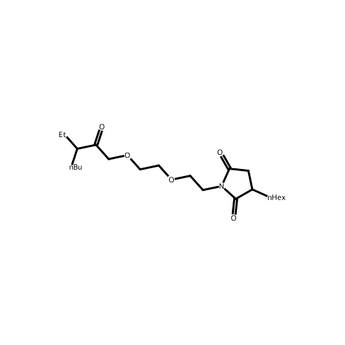 CCCCCCC1CC(=O)N(CCOCCOCC(=O)C(CC)CCCC)C1=O